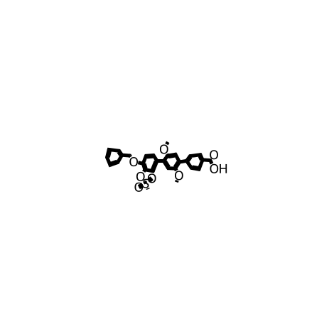 COc1cc(-c2ccc(OCc3ccccc3)c(OS(C)(=O)=O)c2)c(OC)cc1-c1ccc(C(=O)O)cc1